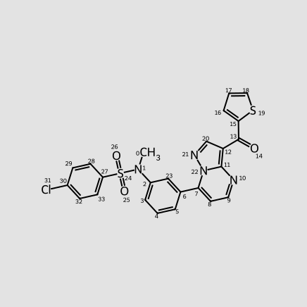 CN(c1cccc(-c2ccnc3c(C(=O)c4cccs4)cnn23)c1)S(=O)(=O)c1ccc(Cl)cc1